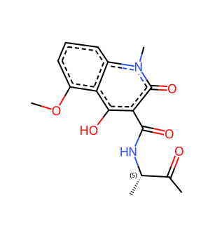 COc1cccc2c1c(O)c(C(=O)N[C@@H](C)C(C)=O)c(=O)n2C